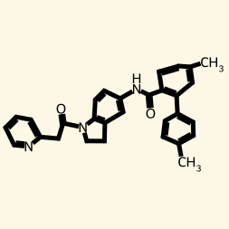 Cc1ccc(-c2cc(C)ccc2C(=O)Nc2ccc3c(c2)CCN3C(=O)Cc2ccccn2)cc1